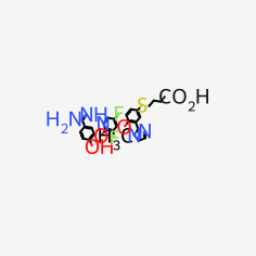 CN1CC=NC1c1cc(SCCCC(=O)O)ccc1Oc1c(F)cnc(Oc2cc(C(=N)N)ccc2O)c1F